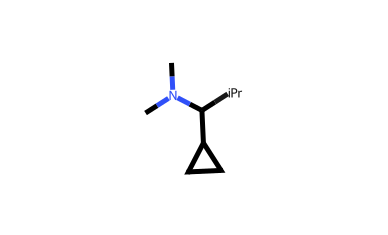 CC(C)C(C1CC1)N(C)C